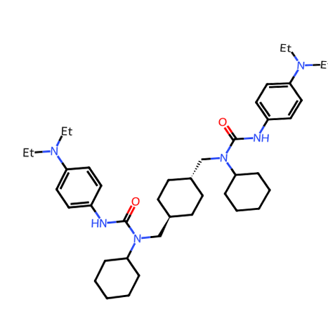 CCN(CC)c1ccc(NC(=O)N(C[C@H]2CC[C@H](CN(C(=O)Nc3ccc(N(CC)CC)cc3)C3CCCCC3)CC2)C2CCCCC2)cc1